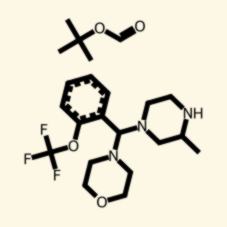 CC(C)(C)OC=O.CC1CN(C(c2ccccc2OC(F)(F)F)N2CCOCC2)CCN1